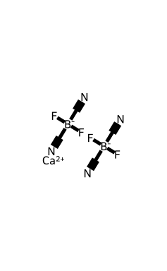 N#C[B-](F)(F)C#N.N#C[B-](F)(F)C#N.[Ca+2]